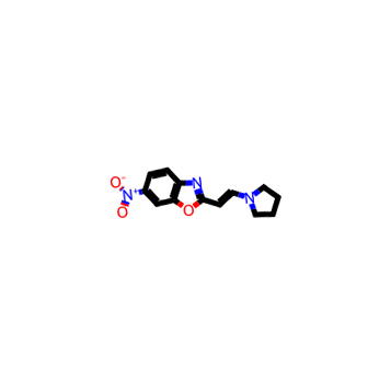 O=[N+]([O-])c1ccc2nc(/C=C/N3CCCC3)oc2c1